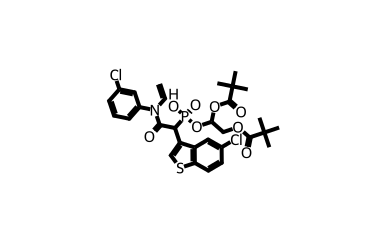 C=CN(C(=O)C(c1csc2ccc(Cl)cc12)P(=O)(O)OC(COC(=O)C(C)(C)C)OC(=O)C(C)(C)C)c1cccc(Cl)c1